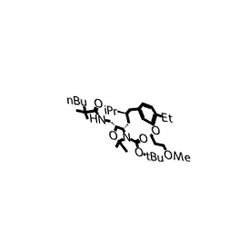 CCCCC(C)(C)C(=O)NC[C@H]1OC(C)(C)N(C(=O)OC(C)(C)C)[C@H]1C[C@H](Cc1ccc(CC)c(OCCCOC)c1)C(C)C